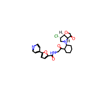 O=C(NCC(=O)C1CCCCC1N1C[C@H](Cl)[C@H]2OCC(=O)[C@H]21)c1ccc(-c2ccncc2)o1